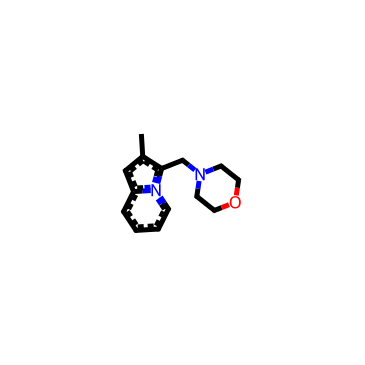 Cc1cc2ccccn2c1CN1CCOCC1